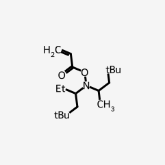 C=CC(=O)ON(C(C)CC(C)(C)C)C(CC)CC(C)(C)C